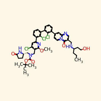 CCCC(CCO)NCc1cnc2cc(-c3cccc(-c4cccc(-c5cc(Cl)c(CN(C[C@@H]6CCC(=O)N6)C(=O)OC(C)(C)C)c(OC)n5)c4Cl)c3Cl)ccn2c1=O